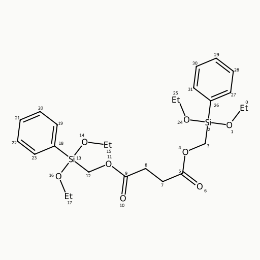 CCO[Si](COC(=O)CCC(=O)OC[Si](OCC)(OCC)c1ccccc1)(OCC)c1ccccc1